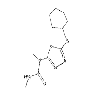 CNC(=O)N(C)c1nnc(SC2CCCCC2)s1